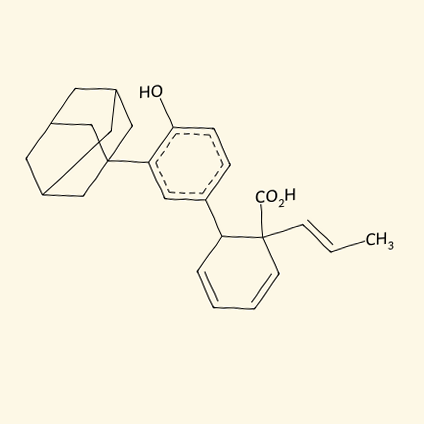 CC=CC1(C(=O)O)C=CC=CC1c1ccc(O)c(C23CC4CC(CC(C4)C2)C3)c1